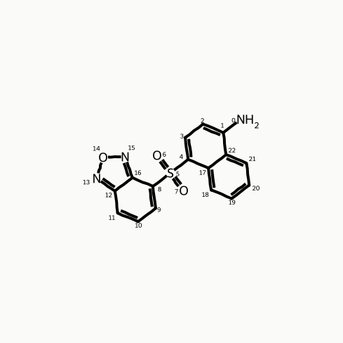 Nc1ccc(S(=O)(=O)c2cccc3nonc23)c2ccccc12